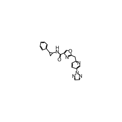 O=C(NC1CC1c1ccccc1)c1coc(Cc2ccc(-n3nccn3)cn2)n1